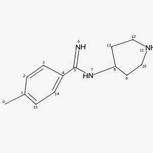 Cc1ccc(C(=N)NC2CCNCC2)cc1